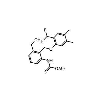 COC(=S)Nc1cccc(CO)c1COc1cc(C)c(C)cc1C(F)F